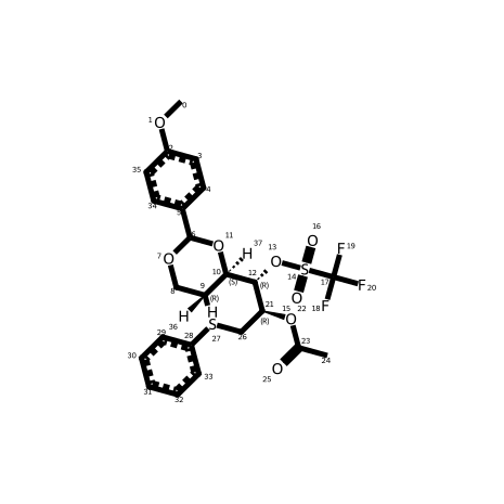 COc1ccc(C2OC[C@@H]3[C@@H](O2)[C@H](OS(=O)(=O)C(F)(F)F)[C@@H](OC(C)=O)C[SH]3c2ccccc2)cc1